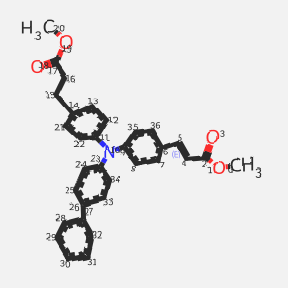 COC(=O)/C=C/c1ccc(N(c2ccc(CCC(=O)OC)cc2)c2ccc(-c3ccccc3)cc2)cc1